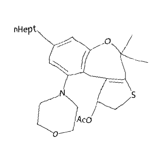 CCCCCCCc1cc2c(c(N3CCOCC3)c1)C1=C(SCC1OC(C)=O)C(C)(C)O2